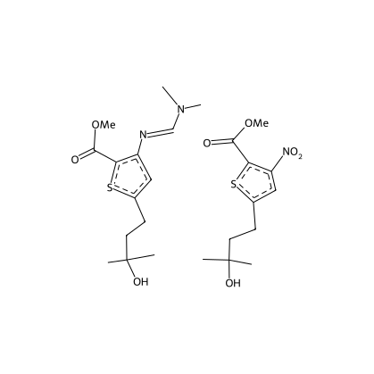 COC(=O)c1sc(CCC(C)(C)O)cc1N=CN(C)C.COC(=O)c1sc(CCC(C)(C)O)cc1[N+](=O)[O-]